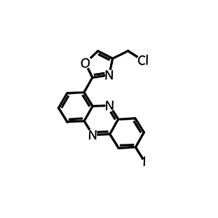 ClCc1coc(-c2cccc3nc4cc(I)ccc4nc23)n1